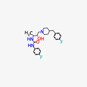 CC(NC(=O)Nc1ccc(F)cc1)C(O)CN1CCC(Cc2ccc(F)cc2)CC1